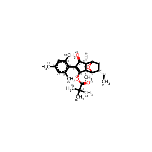 CC[C@H]1CC2OC1[C@@]1(C)C(OC(=O)C(C)(C)C)=C(c3c(C)cc(C)cc3C)C(=O)[C@@H]21